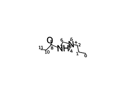 CCC[N+](C)(C)CNC(=O)CC